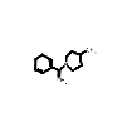 C=C(C1=CCCC=C1)N1CCC(C)CC1